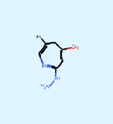 CCC1=CN=C(NN)C=C(O)C1